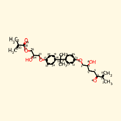 C=C(C)C(=O)CCC(O)COc1ccc(C(C)(C)c2ccc(OCC(O)COC(=O)C(=C)C)cc2)cc1